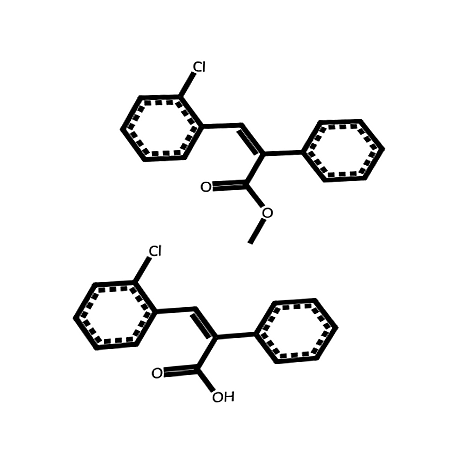 COC(=O)C(=Cc1ccccc1Cl)c1ccccc1.O=C(O)C(=Cc1ccccc1Cl)c1ccccc1